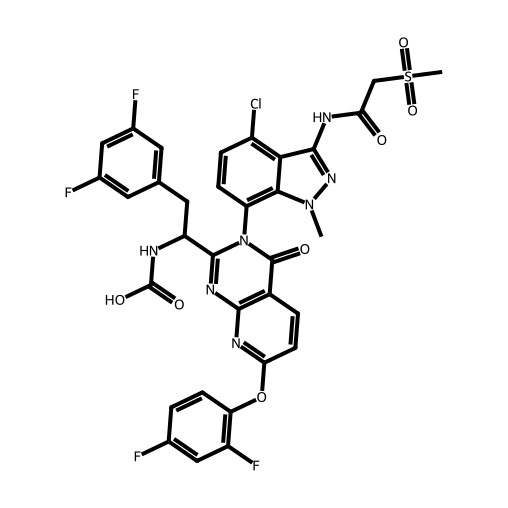 Cn1nc(NC(=O)CS(C)(=O)=O)c2c(Cl)ccc(-n3c(C(Cc4cc(F)cc(F)c4)NC(=O)O)nc4nc(Oc5ccc(F)cc5F)ccc4c3=O)c21